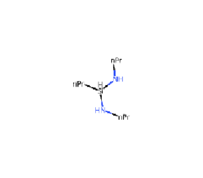 CCCN[SiH](CCC)NCCC